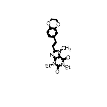 CCn1c(=O)c2c(nc(C=Cc3ccc4c(c3)OCCO4)n2C)n(CC)c1=O